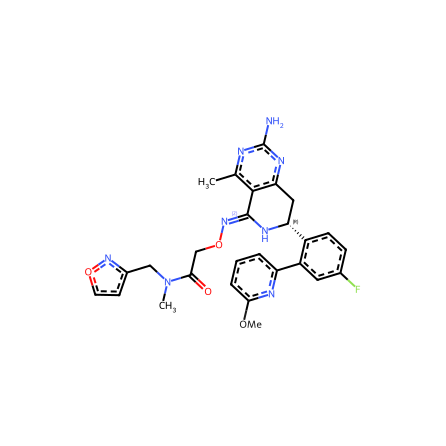 COc1cccc(-c2cc(F)ccc2[C@H]2Cc3nc(N)nc(C)c3/C(=N/OCC(=O)N(C)Cc3ccon3)N2)n1